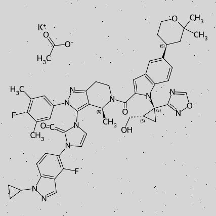 CC(=O)[O-].Cc1cc(-n2nc3c(c2N2C=CN(c4ccc5c(cnn5C5CC5)c4F)C2=C=O)[C@H](C)N(C(=O)c2cc4cc([C@H]5CCOC(C)(C)C5)ccc4n2[C@@]2(c4ncon4)C[C@@H]2CO)CC3)cc(C)c1F.[K+]